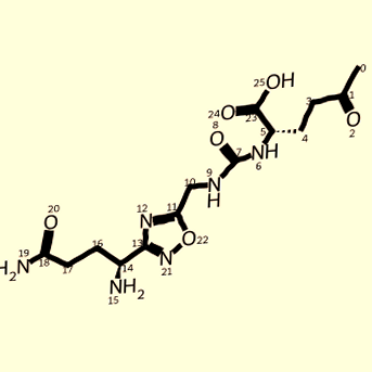 CC(=O)CC[C@H](NC(=O)NCc1nc([C@@H](N)CCC(N)=O)no1)C(=O)O